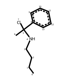 CCCCNC(C)(Cl)c1ccccc1